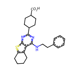 O=C(O)C1CCC(c2nc(NCCc3ccccc3)c3c4c(sc3n2)CCCC4)CC1